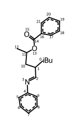 CCC(C)C(C=Nc1ccccc1)CC(C)OC(=O)c1ccccc1